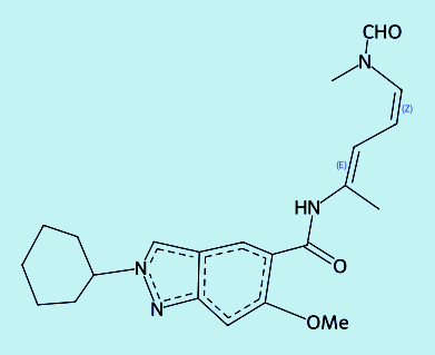 COc1cc2nn(C3CCCCC3)cc2cc1C(=O)N/C(C)=C/C=C\N(C)C=O